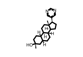 C[C@@]1(O)CC[C@H]2[C@H](CC[C@@H]3[C@@H]2CC[C@]2(C)[C@@H](c4cncnc4)CC[C@@H]32)C1